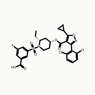 CC[C@@H]1C[C@H](OC(=O)c2c(-c3c(Cl)cccc3Cl)noc2C2CC2)CCN1S(=O)(=O)c1cc(F)cc(C(=O)O)c1